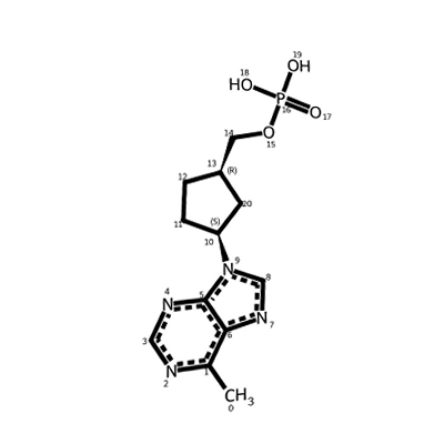 Cc1ncnc2c1ncn2[C@H]1CC[C@@H](COP(=O)(O)O)C1